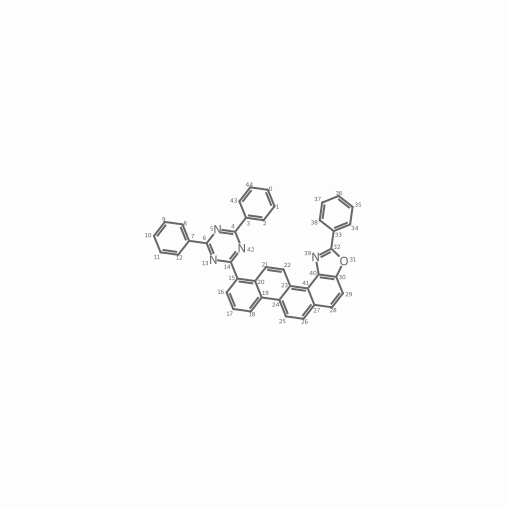 c1ccc(-c2nc(-c3ccccc3)nc(-c3cccc4c3ccc3c4ccc4ccc5oc(-c6ccccc6)nc5c43)n2)cc1